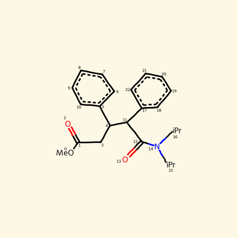 COC(=O)CC(c1ccccc1)C(C(=O)N(C(C)C)C(C)C)c1ccccc1